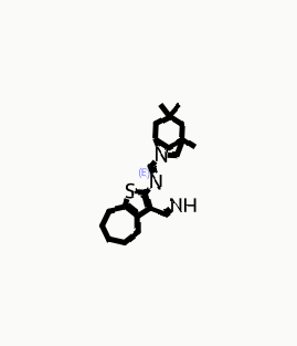 CC1(C)CC2CC(C)(CN2/C=N/c2sc3c(c2C=N)CCCCC3)C1